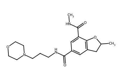 CNC(=O)c1cc(C(=O)NCCCN2CCOCC2)cc2c1OC(C)C2